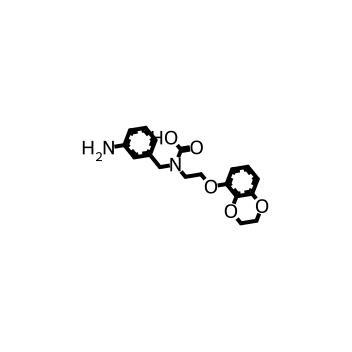 Nc1cccc(CN(CCOc2cccc3c2OCCO3)C(=O)O)c1